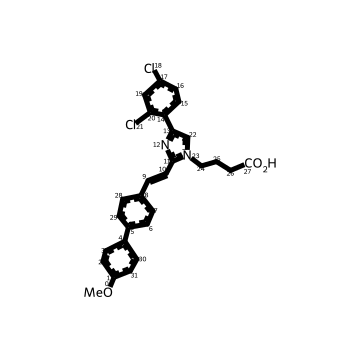 COc1ccc(-c2ccc(C=Cc3nc(-c4ccc(Cl)cc4Cl)cn3CCCC(=O)O)cc2)cc1